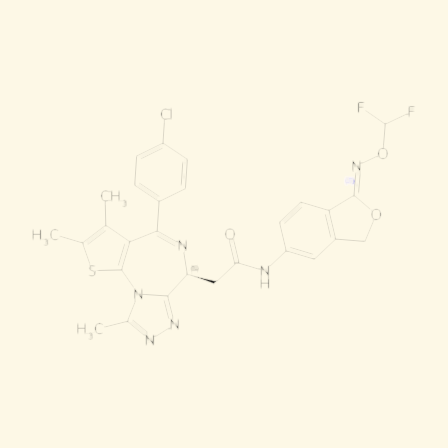 Cc1sc2c(c1C)C(c1ccc(Cl)cc1)=N[C@@H](CC(=O)Nc1ccc3c(c1)CO/C3=N\OC(F)F)c1nnc(C)n1-2